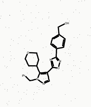 CC(C)Cn1ncc(-c2nc(-c3ccc(CO)cc3)no2)c1C1CCOCC1